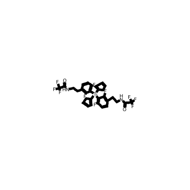 O=C(NCCc1ccc(F)[c]([Ti]([C]2=CC=CC2)([C]2=CC=CC2)[c]2c(F)ccc(CCNC(=O)C(F)(F)F)c2F)c1F)C(F)(F)F